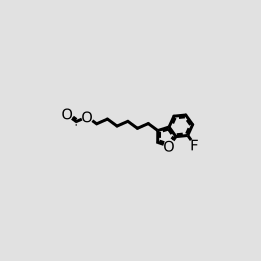 O=[C]OCCCCCCc1coc2c(F)cccc12